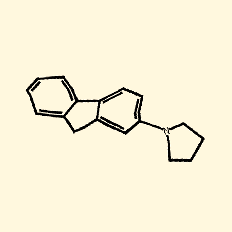 c1ccc2c(c1)Cc1cc(N3CCCC3)ccc1-2